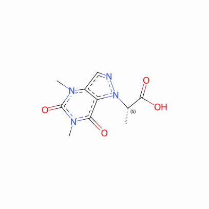 C[C@@H](C(=O)O)n1ncc2c1c(=O)n(C)c(=O)n2C